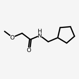 COCC(=O)NCC1CCCC1